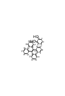 Oc1ccccc1O.c1ccc(C(=C(c2ccccc2)c2ccccc2)c2ccccc2)cc1